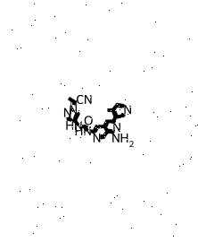 Cc1ccncc1-c1cc2cc(NC(=O)Nc3cnn([C@H](C)C#N)c3)ncc2c(N)n1